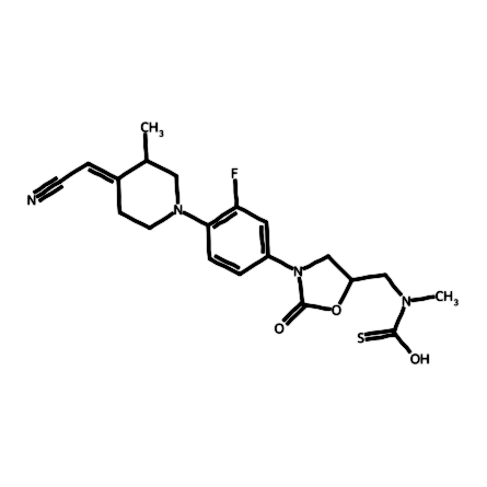 CC1CN(c2ccc(N3CC(CN(C)C(O)=S)OC3=O)cc2F)CCC1=CC#N